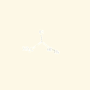 CCCCC(CC)C(=O)O.[Rh]